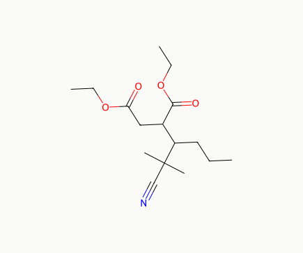 CCCC(C(CC(=O)OCC)C(=O)OCC)C(C)(C)C#N